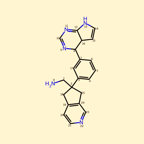 NCC1(c2cccc(C3N=CN=C4NC=CC43)c2)Cc2ccncc2C1